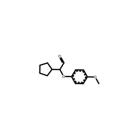 COc1ccc(OC(C=O)C2CCCC2)cc1